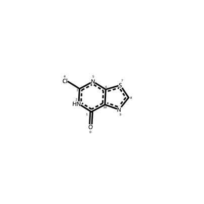 O=c1[nH]c(Cl)nc2scnc12